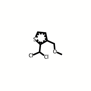 COCc1ccsc1C(Cl)Cl